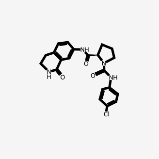 O=C1NCCc2ccc(NC(=O)[C@H]3CCCN3C(=O)Nc3ccc(Cl)cc3)cc21